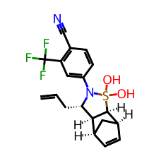 C=CC[C@H]1[C@H]2[C@H]([C@H]3C=C[C@@H]2C3)S(O)(O)N1c1ccc(C#N)c(C(F)(F)F)c1